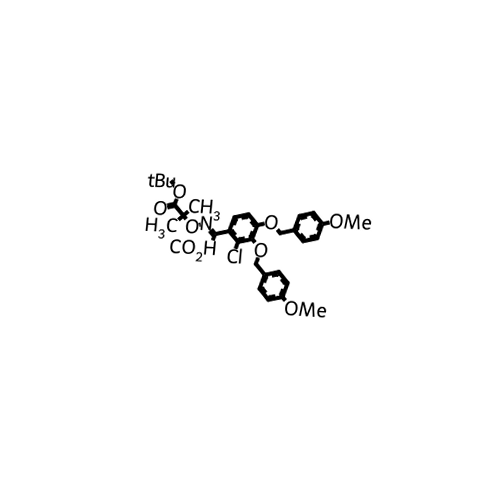 COc1ccc(COc2ccc(/C(=N/OC(C)(C)C(=O)OC(C)(C)C)C(=O)O)c(Cl)c2OCc2ccc(OC)cc2)cc1